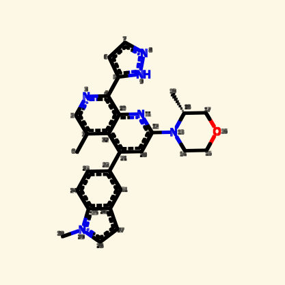 Cc1cnc(-c2ccn[nH]2)c2nc(N3CCOC[C@H]3C)cc(-c3ccc4c(ccn4C)c3)c12